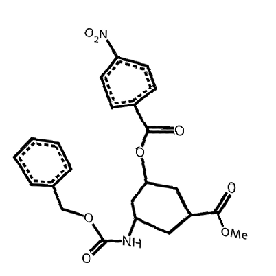 COC(=O)C1CC(NC(=O)OCc2ccccc2)CC(OC(=O)c2ccc([N+](=O)[O-])cc2)C1